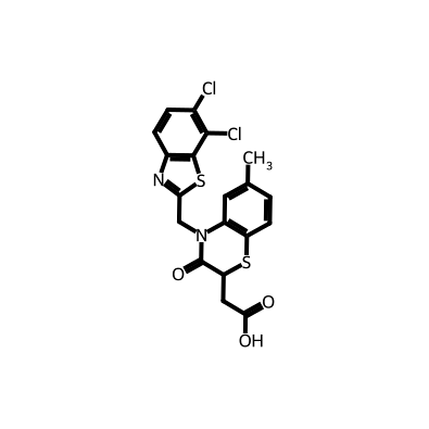 Cc1ccc2c(c1)N(Cc1nc3ccc(Cl)c(Cl)c3s1)C(=O)C(CC(=O)O)S2